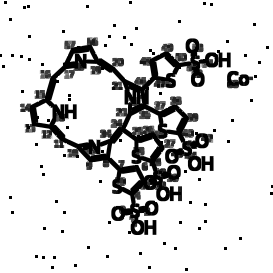 O=S(=O)(O)c1ccc(C2=Cc3cc4ccc(cc5nc(cc6[nH]c(c(-c7ccc(S(=O)(=O)O)s7)c2n3)c(-c2ccc(S(=O)(=O)O)s2)c6-c2ccc(S(=O)(=O)O)s2)C=C5)[nH]4)s1.[Co]